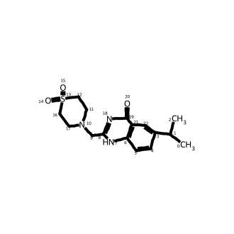 CC(C)c1ccc2[nH]c(CN3CCS(=O)(=O)CC3)nc(=O)c2c1